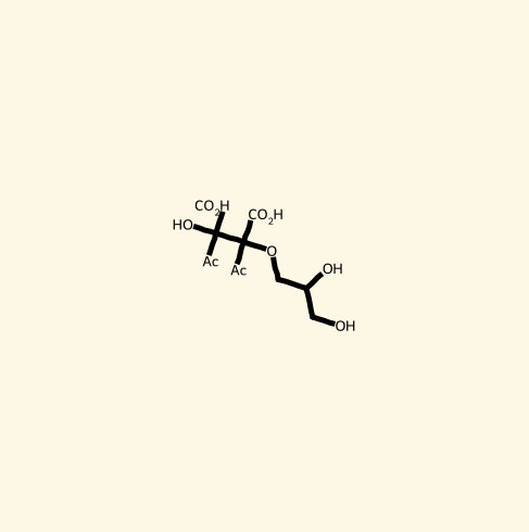 CC(=O)C(O)(C(=O)O)C(OCC(O)CO)(C(C)=O)C(=O)O